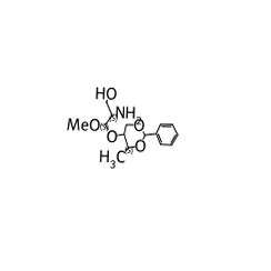 CO[C@@H](OC1COC(c2ccccc2)O[C@H]1C)[C@@H](N)CO